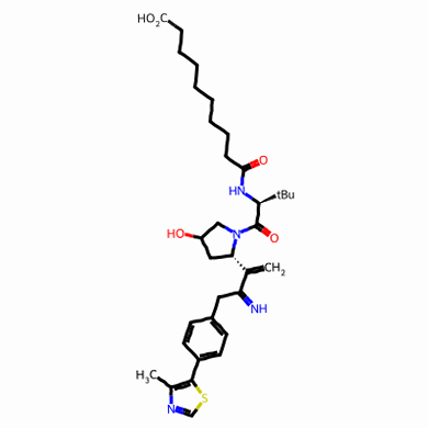 C=C(C(=N)Cc1ccc(-c2scnc2C)cc1)[C@@H]1CC(O)CN1C(=O)[C@@H](NC(=O)CCCCCCCCC(=O)O)C(C)(C)C